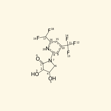 O=C1C(O)C(O)CN1c1cc(C(F)(F)F)cc(C(F)F)n1